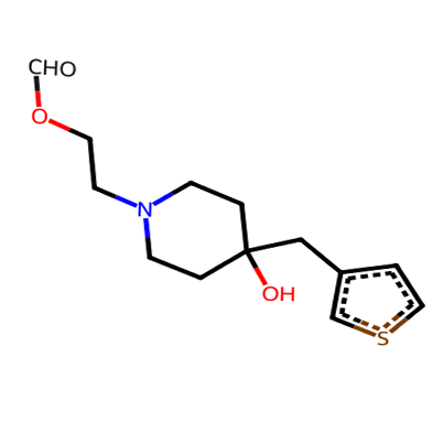 O=COCCN1CCC(O)(Cc2ccsc2)CC1